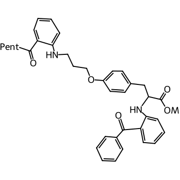 CCCCCC(=O)c1ccccc1NCCCOc1ccc(CC(Nc2ccccc2C(=O)c2ccccc2)C(=O)OC)cc1